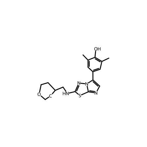 Cc1cc(-c2cnc3sc(NCC4CCOCC4)nn23)cc(C)c1O